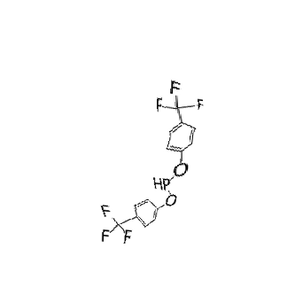 FC(F)(F)c1ccc(OPOc2ccc(C(F)(F)F)cc2)cc1